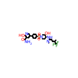 C=N/C(=C\C=C(/C)C(F)(F)F)N[C@@H]1CCN(S(=O)(=O)c2ccc(-c3cnc(O)c(C(N)=O)c3)cc2)C[C@@H]1O